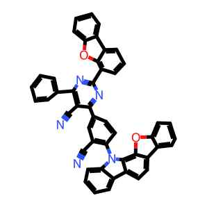 N#Cc1cc(-c2nc(-c3cccc4c3oc3ccccc34)nc(-c3ccccc3)c2C#N)ccc1-n1c2ccccc2c2ccc3c4ccccc4oc3c21